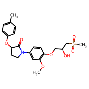 COc1cc(N2CCC(Oc3ccc(C)cc3)C2=O)ccc1OC[C@H](O)CS(C)(=O)=O